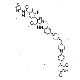 Cc1c(C(=O)Nc2cscn2)ccc(-c2nn3c(c2C=O)Nc2ccc(N4CCN(CC5CCN(c6ccc(N7CCC(=O)NC7=O)cc6)CC5)CC4)cc2CC3)c1F